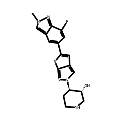 Cn1cc2cc(-c3cc4cn([C@@H]5CCNC[C@H]5O)nc4s3)cc(F)c2n1